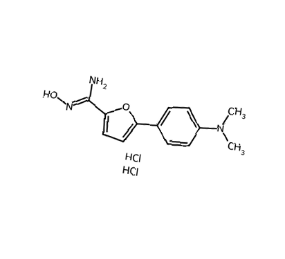 CN(C)c1ccc(-c2ccc(C(N)=NO)o2)cc1.Cl.Cl